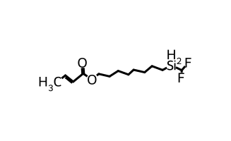 CC=CC(=O)OCCCCCCCC[SiH2]C(F)F